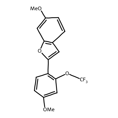 COc1ccc(-c2cc3ccc(OC)cc3o2)c(OC(F)(F)F)c1